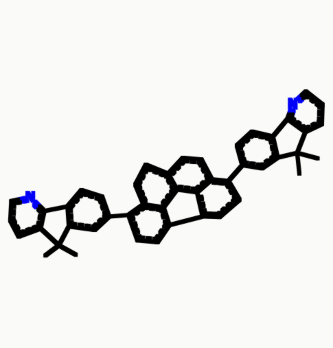 CC1(C)c2cc(-c3ccc4c5c3ccc3ccc6c(-c7ccc8c(c7)C(C)(C)c7cccnc7-8)ccc-4c6c35)ccc2-c2ncccc21